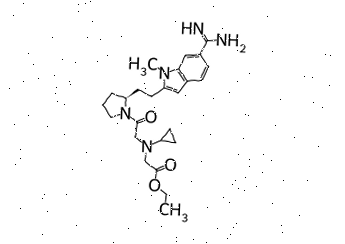 CCOC(=O)CN(CC(=O)N1CCC[C@H]1CCc1cc2ccc(C(=N)N)cc2n1C)C1CC1